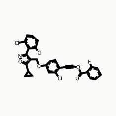 O=C(OC#Cc1ccc(OCc2c(-c3c(Cl)cccc3Cl)noc2C2CC2)cc1Cl)c1ccccc1F